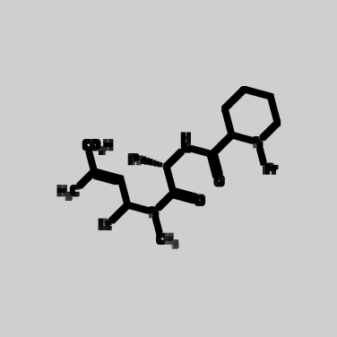 CCC(/C=C(\C)C(=O)O)N(C)C(=O)[C@@H](NC(=O)C1CCCCN1C(C)C)C(C)C